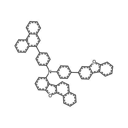 c1ccc2c(c1)cc(-c1ccc(N(c3ccc(-c4ccc5c(c4)oc4ccccc45)cc3)c3cccc4oc5c6ccccc6ccc5c34)cc1)c1ccccc12